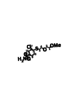 COCCOCCSc1ccc(S(N)(=O)=O)cc1Cl